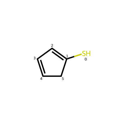 SC1=CC=CC1